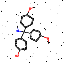 CNC(c1ccc(O)cc1)(c1ccc(OC)cc1)c1ccc(OC)cc1